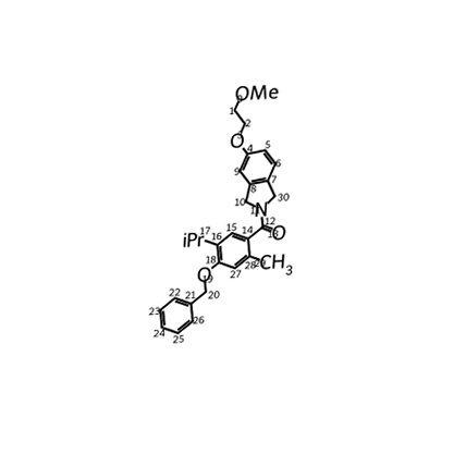 COCCOc1ccc2c(c1)CN(C(=O)c1cc(C(C)C)c(OCc3ccccc3)cc1C)C2